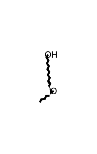 CCCCC[C@H]1O[C@H]1CC=CCCCCCCCCO